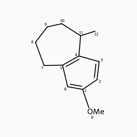 COc1ccc2c(c1)CCCCC2C